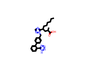 CCCCCCC(CC(C)C(=O)O)c1ncnn1Cc1ccc(-c2ccccc2-c2nnn[nH]2)cc1